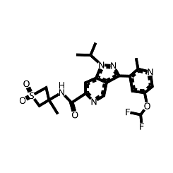 Cc1ncc(OC(F)F)cc1-c1nn(C(C)C)c2cc(C(=O)NC3(C)CS(=O)(=O)C3)ncc12